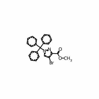 COC(=O)c1nn(C(c2ccccc2)(c2ccccc2)c2ccccc2)cc1Br